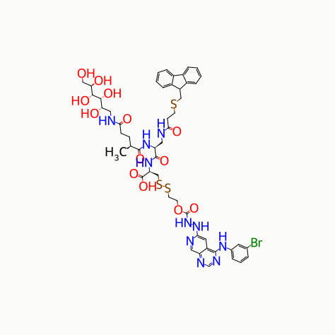 C[C@@H](CCC(=O)NC[C@H](O)[C@@H](O)[C@H](O)[C@H](O)CO)C(=O)N[C@@H](CNC(=O)CCSCC1c2ccccc2-c2ccccc21)C(=O)N[C@@H](CSSCCOC(=O)NNc1cc2c(Nc3cccc(Br)c3)ncnc2cn1)C(=O)O